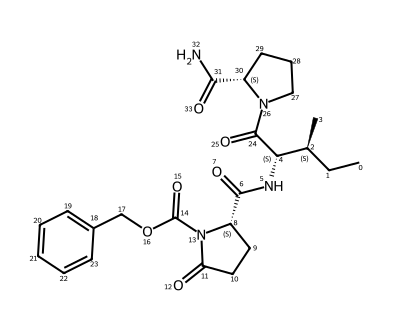 CC[C@H](C)[C@H](NC(=O)[C@@H]1CCC(=O)N1C(=O)OCc1ccccc1)C(=O)N1CCC[C@H]1C(N)=O